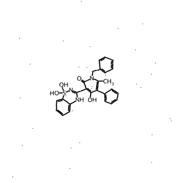 Cc1c(-c2ccccc2)c(O)c(C2=NS(O)(O)c3ccccc3N2)c(=O)n1Cc1ccccc1